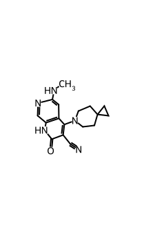 CNc1cc2c(N3CCC4(CC3)CC4)c(C#N)c(=O)[nH]c2cn1